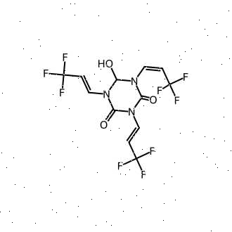 O=C1N(/C=C/C(F)(F)F)C(=O)N(/C=C/C(F)(F)F)C(O)N1/C=C\C(F)(F)F